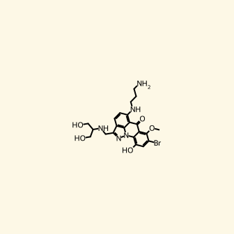 COc1c(Br)cc(O)c2c1c(=O)c1c(NCCCN)ccc3c(CNC(CO)CO)nn2c31